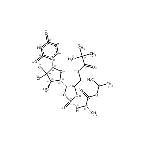 CC(C)OC(=O)[C@H](C)N[P@@](=S)(OCCSC(=O)C(C)(C)C)OC[C@H]1O[C@@H](n2ccc(=O)[nH]c2=O)C(Cl)(Cl)[C@@H]1O